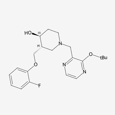 CC(C)(C)Oc1nccnc1CN1CC[C@H](O)[C@@H](COc2ccccc2F)C1